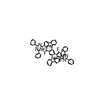 Fc1c(F)c(F)c(-c2cc(-n3c4ccccc4c4ccc(-c5nc(-c6ccccc6)nc(-c6ccccc6)n5)cc43)c(C(F)(F)F)cc2-n2c3ccccc3c3ccc(-c4nc(-c5ccccc5)nc(-c5ccccc5)n4)cc32)c(F)c1F